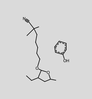 CCC1CC(C)OC1OCCCCCC(C)(C)C#N.Oc1ccccc1